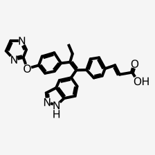 CCC(=C(c1ccc(C=CC(=O)O)cc1)c1ccc2[nH]ncc2c1)c1ccc(Oc2cnccn2)cc1